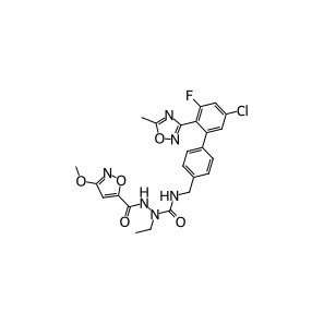 CCN(NC(=O)c1cc(OC)no1)C(=O)NCc1ccc(-c2cc(Cl)cc(F)c2-c2noc(C)n2)cc1